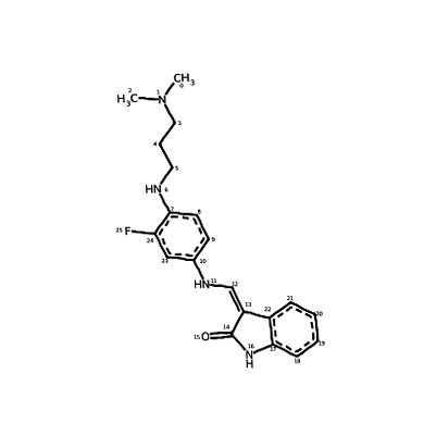 CN(C)CCCNc1ccc(N/C=C2\C(=O)Nc3ccccc32)cc1F